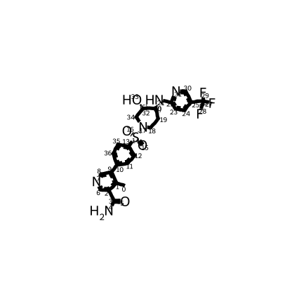 Cc1c(C(N)=O)cncc1-c1ccc(S(=O)(=O)N2CC[C@@H](Nc3ccc(C(F)(F)F)cn3)[C@@H](O)C2)cc1